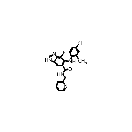 Cc1cc(Cl)ccc1Nc1c(C(=O)NCc2ccccn2)cc2[nH]cnc2c1F